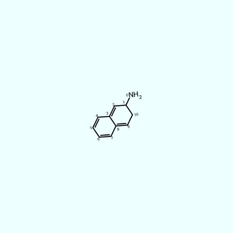 NC1C=c2ccccc2=CC1